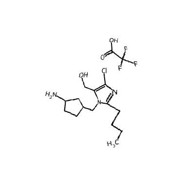 CCCCc1nc(Cl)c(CO)n1CC1CCC(N)C1.O=C(O)C(F)(F)F